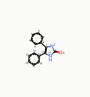 O=C1[N]C(c2ccccc2)=C(c2ccccc2)N1